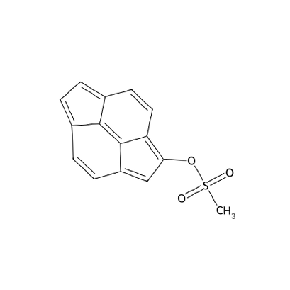 CS(=O)(=O)OC1=c2ccc3c4c(ccc(c24)=C1)=CC=3